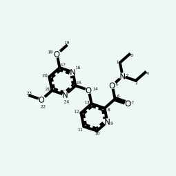 CCN(CC)OC(=O)c1ncccc1Oc1nc(OC)cc(OC)n1